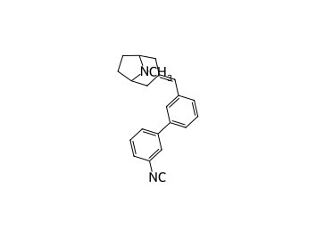 [C-]#[N+]c1cccc(-c2cccc(C=C3CC4CCC(C3)N4C)c2)c1